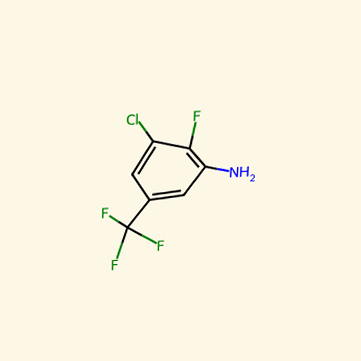 Nc1cc(C(F)(F)F)cc(Cl)c1F